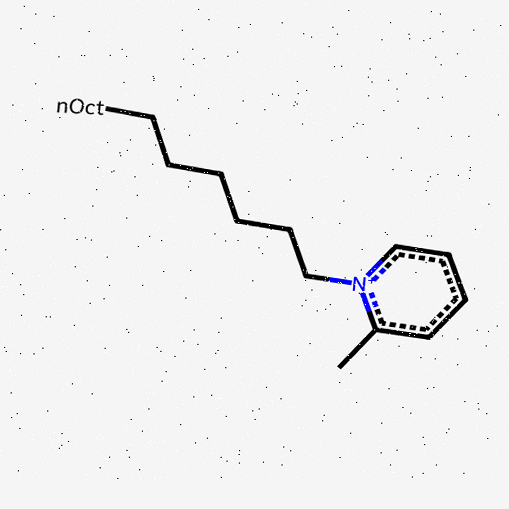 CCCCCCCCCCCCCC[n+]1ccccc1C